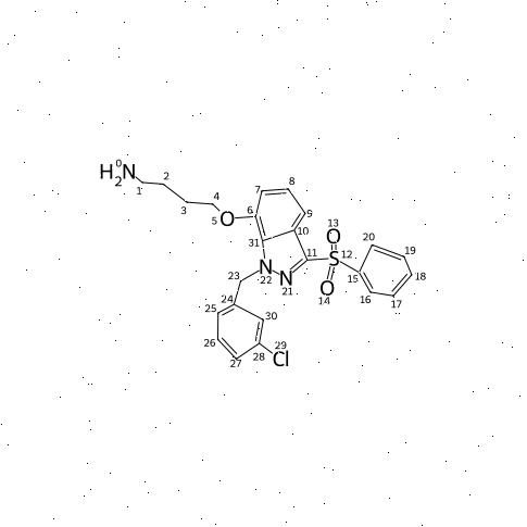 NCCCCOc1cccc2c(S(=O)(=O)c3ccccc3)nn(Cc3cccc(Cl)c3)c12